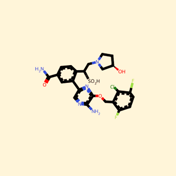 NC(=O)c1ccc(C(CN2CC[C@@H](O)C2)S(=O)(=O)O)c(-c2cnc(N)c(OCc3c(F)ccc(F)c3Cl)n2)c1